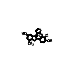 Cc1cc(O)cc2c1CC(c1ccc(O)c(Cl)c1)=C2c1ccsc1N